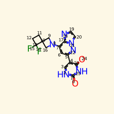 O=c1[nH]cc(-c2cc(N3CC4(CCC4(F)F)C3)c3nccn3n2)c(=O)[nH]1